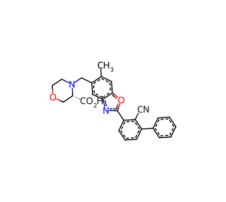 Cc1cc2oc(-c3cccc(-c4ccccc4)c3C#N)nc2cc1CN1CCOC[C@H]1C(=O)O